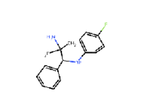 CC(C)(N)C(Nc1ccc(F)cc1)c1ccccc1